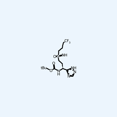 CC(C)(C)OC(=O)N[C@@H](CCS(=N)(=O)CCCC(F)(F)F)c1ncn[nH]1